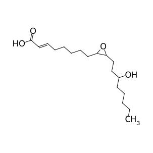 CCCCCC(O)CCC1OC1CCCCC/C=C/C(=O)O